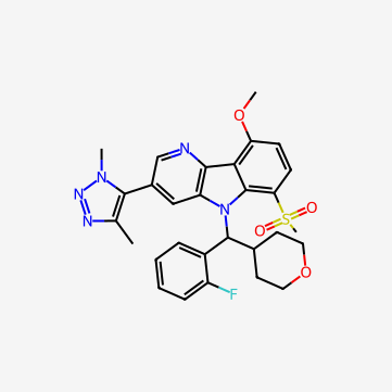 COc1ccc(S(C)(=O)=O)c2c1c1ncc(-c3c(C)nnn3C)cc1n2C(c1ccccc1F)C1CCOCC1